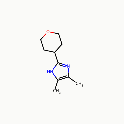 Cc1nc(C2CCOCC2)[nH]c1C